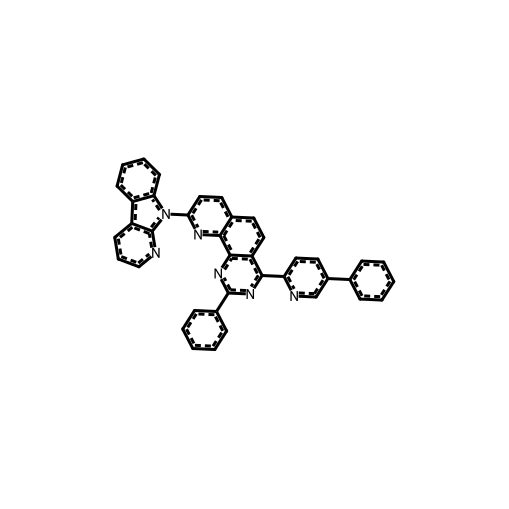 c1ccc(-c2ccc(-c3nc(-c4ccccc4)nc4c3ccc3ccc(-n5c6ccccc6c6cccnc65)nc34)nc2)cc1